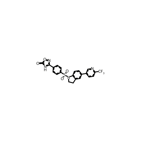 O=c1[nH]c(-c2ccc(S(=O)(=O)N3CCc4cc(-c5ccc(C(F)(F)F)nc5)ccc43)cc2)no1